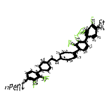 CCCCCc1ccc(C2CCC(CCC3CCC(c4ccc(-c5ccc(CC)c(F)c5F)c(F)c4F)CC3)CC2)c(F)c1F